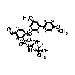 COc1ccc(-c2cc(C)cc(Oc3ccc(N=O)cc3S(=O)(=O)NC(=O)NC(C)(C)C)c2)cc1